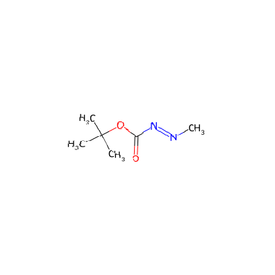 CN=NC(=O)OC(C)(C)C